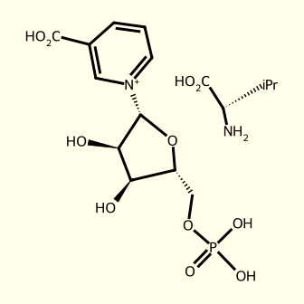 CC(C)[C@H](N)C(=O)O.O=C(O)c1ccc[n+]([C@@H]2O[C@H](COP(=O)(O)O)[C@@H](O)[C@H]2O)c1